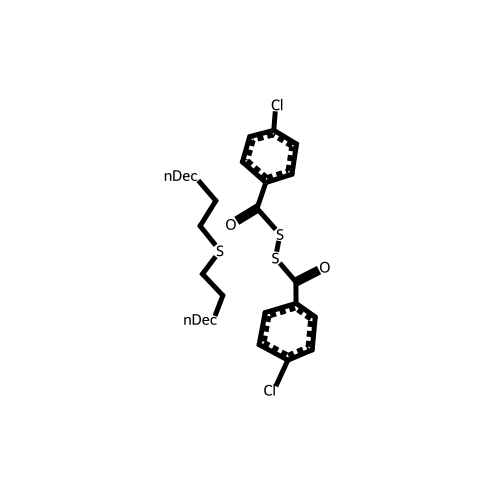 CCCCCCCCCCCCSCCCCCCCCCCCC.O=C(SSC(=O)c1ccc(Cl)cc1)c1ccc(Cl)cc1